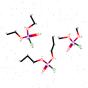 CCCOP(=O)(Cl)OCCC.CCOP(=O)(Cl)OCC.COP(=O)(Cl)OC